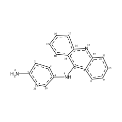 Nc1ccc(Nc2c3ccccc3nc3ccccc23)cn1